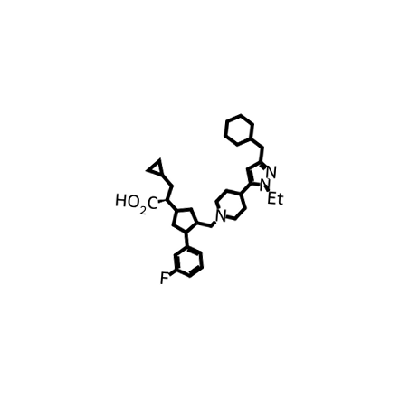 CCn1nc(CC2CCCCC2)cc1C1CCN(CC2CC([C@H](CC3CC3)C(=O)O)CC2c2cccc(F)c2)CC1